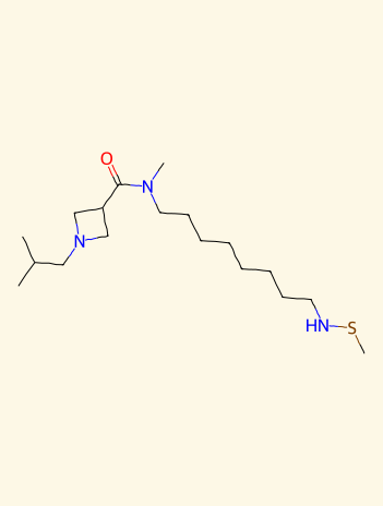 CSNCCCCCCCCN(C)C(=O)C1CN(CC(C)C)C1